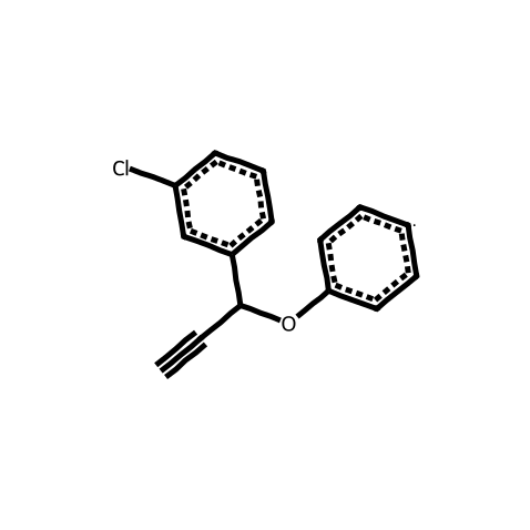 C#CC(Oc1cc[c]cc1)c1cccc(Cl)c1